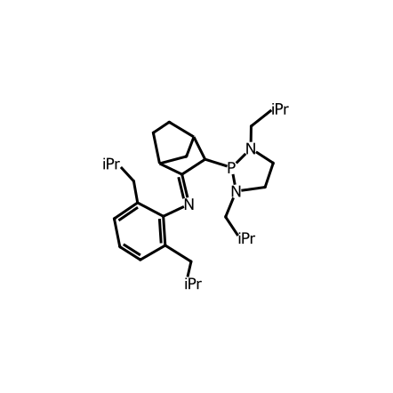 CC(C)Cc1cccc(CC(C)C)c1/N=C1\C2CCC(C2)C1P1N(CC(C)C)CCN1CC(C)C